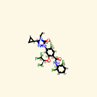 CCn1c(C2CC2)nn(-c2cc(O[C@@H](CF)C(F)F)c(C(=O)Nc3c(F)cccc3F)cc2F)c1=O